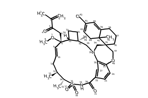 C=C(C)C(=O)C[C@]1(OC)/C=C/C[C@H](C)[C@@H](C)S(=O)(=O)NC(=O)c2ccc3c(c2)N(C[C@@H]2CC[C@H]21)C[C@@]1(CCCC2=CC(Cl)=CCC21C)CO3